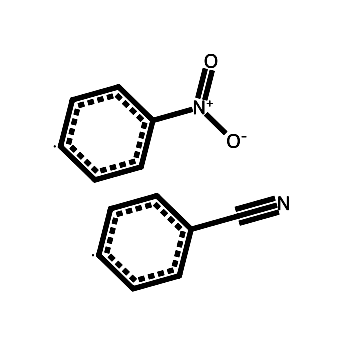 N#Cc1cc[c]cc1.O=[N+]([O-])c1cc[c]cc1